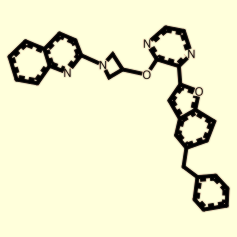 c1ccc(Cc2ccc3oc(-c4nccnc4OC4CN(c5ccc6ccccc6n5)C4)cc3c2)cc1